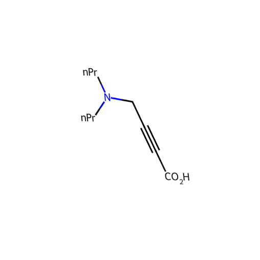 CCCN(CC#CC(=O)O)CCC